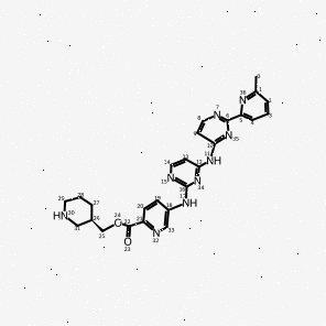 Cc1cccc(-c2nccc(Nc3ccnc(Nc4ccc(C(=O)OC[C@@H]5CCCNC5)nc4)n3)n2)n1